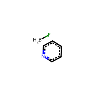 BF.c1ccncc1